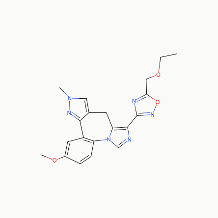 CCOCc1nc(-c2ncn3c2Cc2cn(C)nc2-c2cc(OC)ccc2-3)no1